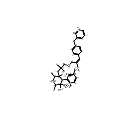 CC(=Cc1ccc(Cc2cccnc2)cc1)COCC(C)(C)CC1(C(=O)O)C(C)NC(C)C(C(=O)O)(C(C)C)C1c1cccc([N+](=O)[O-])c1